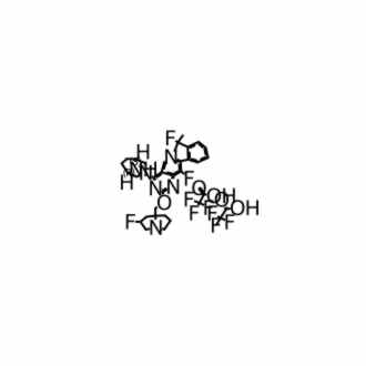 CC(C)(F)c1ccccc1-c1ncc2c(N3C[C@H]4CC[C@@H](C3)N4)nc(OCC34CCCN3CC(F)C4)nc2c1F.O=C(O)C(F)(F)F.O=C(O)C(F)(F)F